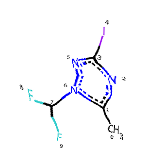 Cc1nc(I)nn1C(F)F